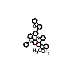 CC1(C)c2ccccc2-c2c(-c3ccccc3N(c3cccc(-c4cccc5c4oc4ccccc45)c3)c3cccc4c3c3ccccc3n4-c3ccccc3)cccc21